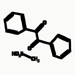 CS(=O)(=O)O.O=C(C(=O)c1ccccc1)c1ccccc1